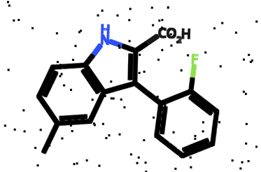 Cc1ccc2[nH]c(C(=O)O)c(-c3ccccc3F)c2c1